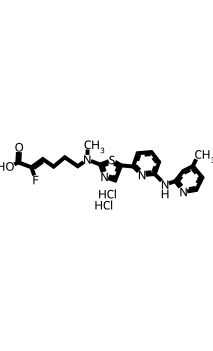 Cc1ccnc(Nc2cccc(-c3cnc(N(C)CCCC=C(F)C(=O)O)s3)n2)c1.Cl.Cl